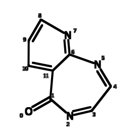 O=c1nccnc2ncccc12